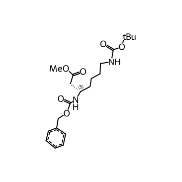 COC(=O)C[C@H](CCCCNC(=O)OC(C)(C)C)NC(=O)OCc1ccccc1